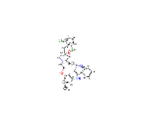 Cc1cc(Nc2cc(OCCN3CCC(O)(Cc4c(F)cccc4Cl)CC3)cc(C(F)(F)F)c2)c2ccccc2n1